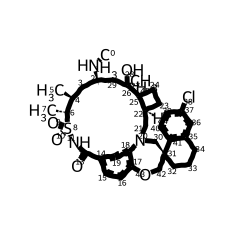 CN[C@@H]1C[C@H](C)[C@@H](C)S(=O)(=O)NC(=O)c2ccc3c(c2)N(C[C@@H]2CC[C@H]2[C@](C)(O)C1)C[C@@]1(CCCc2cc(Cl)ccc21)CO3